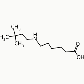 CC(C)(C)CCNCCCCCC(=O)O